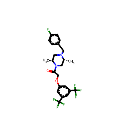 C[C@@H]1CN(C(=O)COc2cc(C(F)(F)F)cc(C(F)(F)F)c2)[C@@H](C)CN1Cc1ccc(F)cc1